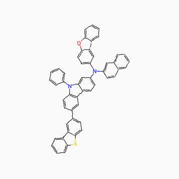 c1ccc(-n2c3ccc(-c4ccc5sc6ccccc6c5c4)cc3c3ccc(N(c4ccc5ccccc5c4)c4ccc5oc6ccccc6c5c4)cc32)cc1